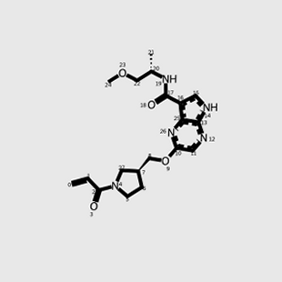 C=CC(=O)N1CC[C@H](COc2cnc3[nH]cc(C(=O)N[C@@H](C)COC)c3n2)C1